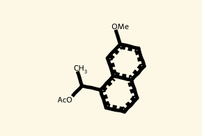 COc1ccc2cccc(C(C)OC(C)=O)c2c1